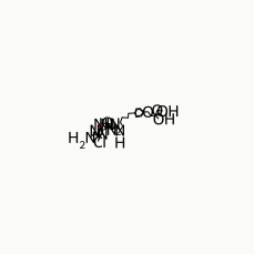 Nc1nc(N)c(C(=O)/N=C2/NCC(CCCc3ccc(OCC(O)OO)cc3)N2)nc1Cl